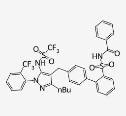 CCCCc1nn(-c2ccccc2C(F)(F)F)c(NS(=O)(=O)C(F)(F)F)c1Cc1ccc(-c2ccccc2S(=O)(=O)NC(=O)c2ccccc2)cc1